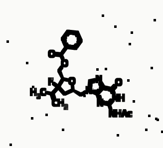 C=C(C)C1(F)C[C@H](Cn2cnc3c(=O)[nH]c(NC(C)=O)nc32)O[C@@H]1COC(=O)c1ccccc1